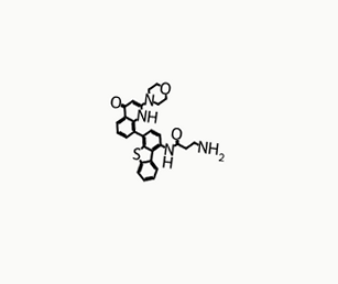 NCCC(=O)Nc1ccc(-c2cccc3c(=O)cc(N4CCOCC4)[nH]c23)c2sc3ccccc3c12